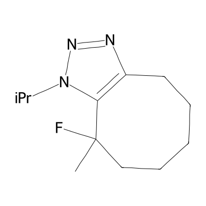 CC(C)n1nnc2c1C(C)(F)CCCCC2